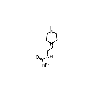 CCCC(=O)NCCN1CCNCC1